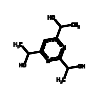 CC(O)c1cc(C(C)O)nc(C(C)O)n1